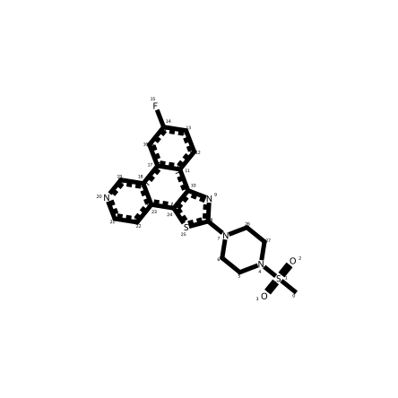 CS(=O)(=O)N1CCN(c2nc3c4ccc(F)cc4c4cnccc4c3s2)CC1